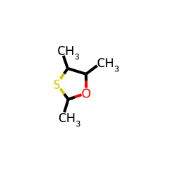 C[C]1OC(C)C(C)S1